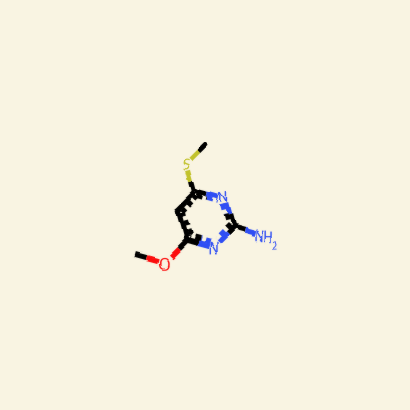 COc1cc(SC)nc(N)n1